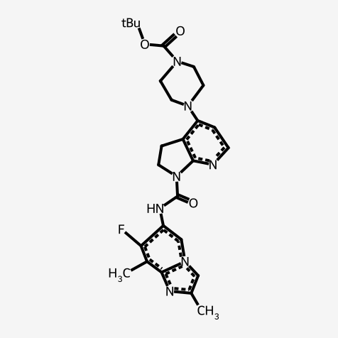 Cc1cn2cc(NC(=O)N3CCc4c(N5CCN(C(=O)OC(C)(C)C)CC5)ccnc43)c(F)c(C)c2n1